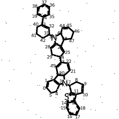 C1=CC2=C(CC1)N(C1CC=Cc3c1sc1ccccc31)C1C=CC(C3C=C4C(=CC3)N(C3C=C(c5ccccc5)CCC3)C3C=CCCC43)=CC21